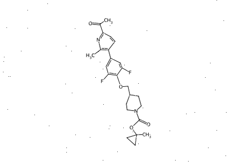 CC(=O)c1ccc(-c2cc(F)c(OCC3CCN(C(=O)OC4(C)CC4)CC3)c(F)c2)c(C)n1